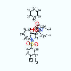 Cc1ccc(S(=O)(=O)n2cc(C3(O)CC4CCCC3N4C(=O)OCc3ccccc3)c3ccccc32)cc1